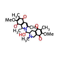 COC1=C(C)C(=O)C2=C(CN(C)C(C(O)N3C(C)=CC4=C(C(=O)C(OC)=C(C)C4=O)[C@@H]3C)C2)C1=O